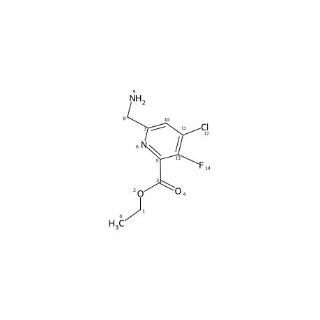 CCOC(=O)c1nc(CN)cc(Cl)c1F